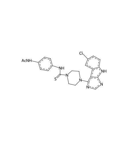 CC(=O)Nc1ccc(NC(=S)N2CCN(c3ncnc4[nH]c5ccc(Cl)cc5c34)CC2)cc1